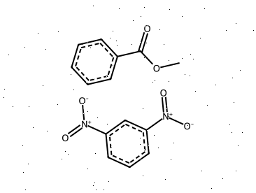 COC(=O)c1ccccc1.O=[N+]([O-])c1cccc([N+](=O)[O-])c1